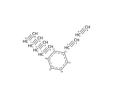 C#C.C#C.C#C.C#C.C#C.C#C.c1ccccc1